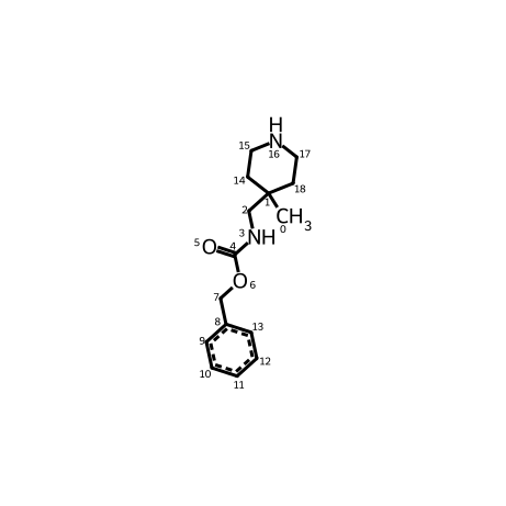 CC1(CNC(=O)OCc2ccccc2)CCNCC1